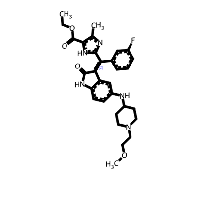 CCOC(=O)c1[nH]c(/C(=C2\C(=O)Nc3ccc(NC4CCN(CCOC)CC4)cc32)c2cccc(F)c2)nc1C